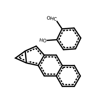 O=Cc1ccccc1O.c1ccc2cc3c4cc-4cc3cc2c1